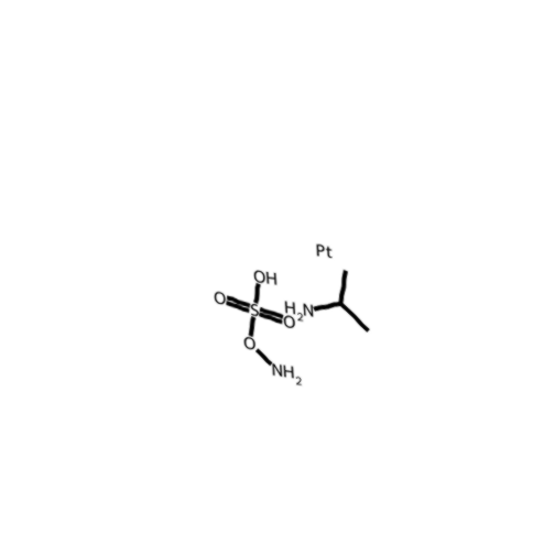 CC(C)N.NOS(=O)(=O)O.[Pt]